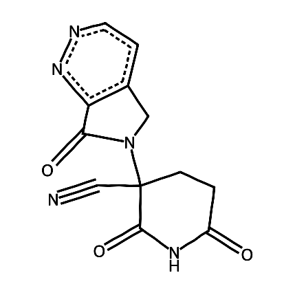 N#CC1(N2Cc3ccnnc3C2=O)CCC(=O)NC1=O